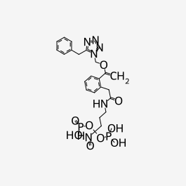 C=C(OCn1nnnc1Cc1ccccc1)c1ccccc1CC(=O)NCCCC(N=O)(OP(O)O)O[PH](=O)O